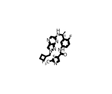 C[C@H](Nc1cnc2cn(CC3CCC3)nc2n1)c1cc(NC(=O)c2cnc(C(F)(F)F)s2)ccc1F